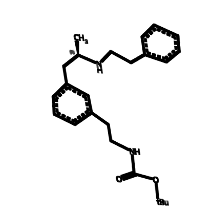 C[C@H](Cc1cccc(CCNC(=O)OC(C)(C)C)c1)NCCc1ccccc1